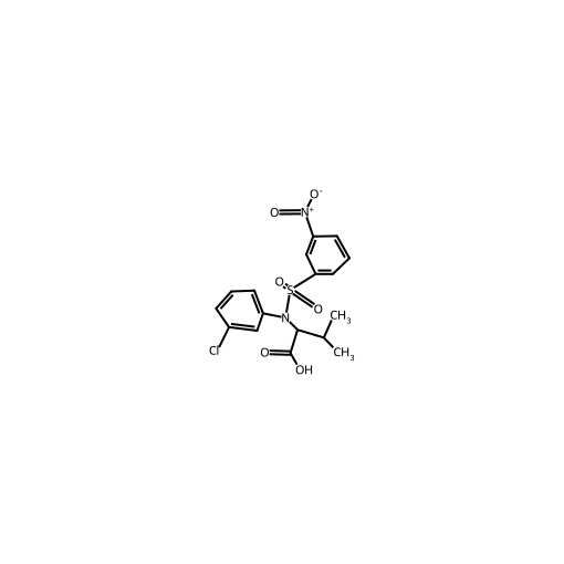 CC(C)C(C(=O)O)N(c1cccc(Cl)c1)S(=O)(=O)c1cccc([N+](=O)[O-])c1